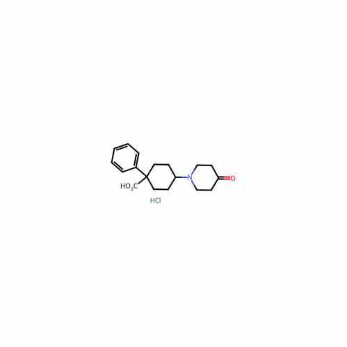 Cl.O=C1CCN(C2CCC(C(=O)O)(c3ccccc3)CC2)CC1